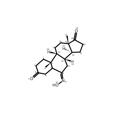 C[C@]12CCC(=O)CC1/C(=N\O)C[C@@H]1[C@H]2CC[C@]2(C)C(=O)CC[C@@H]12